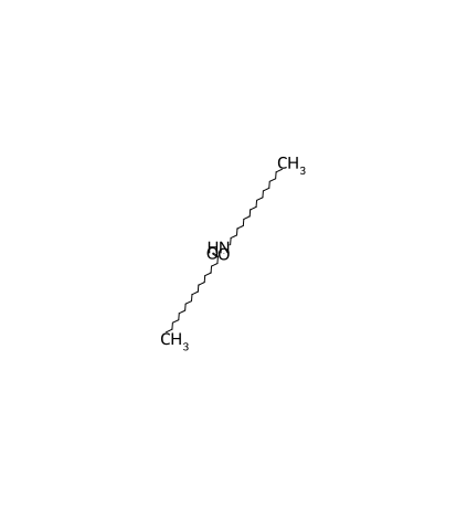 CCCCCCCCCCCCCCCCCCNOC(=O)CCCCCCCCCCCCCCCCC